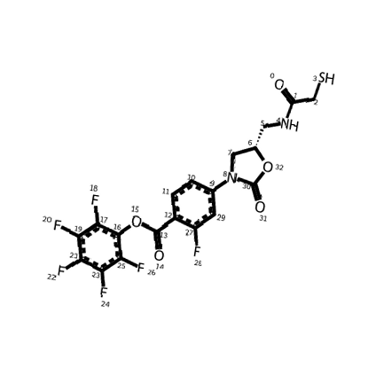 O=C(CS)NC[C@H]1CN(c2ccc(C(=O)Oc3c(F)c(F)c(F)c(F)c3F)c(F)c2)C(=O)O1